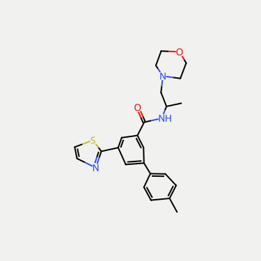 Cc1ccc(-c2cc(C(=O)NC(C)CN3CCOCC3)cc(-c3nccs3)c2)cc1